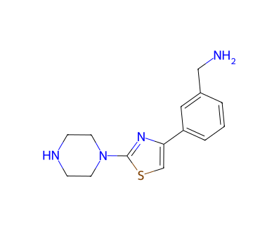 NCc1cccc(-c2csc(N3CCNCC3)n2)c1